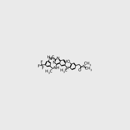 Cc1nc(N[C@H](C)c2cc(N)cc(C(F)(F)F)c2)c2cc(N(C)c3ccc(CC(=O)N(C)C)cc3O)ccc2n1